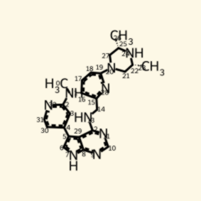 CNc1cc(-c2c[nH]c3ncnc(NCc4cccc(N5C[C@@H](C)N[C@@H](C)C5)n4)c23)ccn1